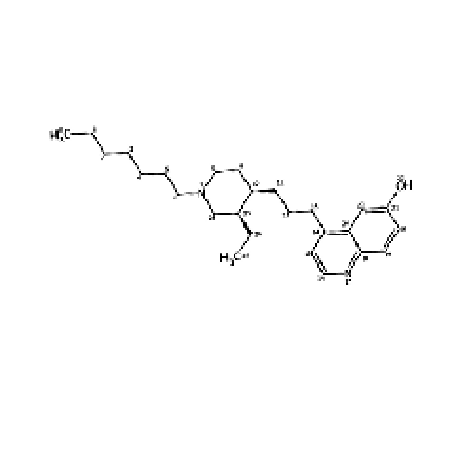 CCCCCCCN1CC[C@@H](CCCc2ccnc3ccc(O)cc23)[C@@H](CC)C1